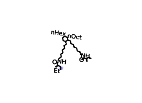 C=CC(=C)C(=O)NCCCCCCCCC1C(CCCCCCCCNC(=O)C(=C)/C=C\CC)CCC(CCCCCC)C1CCCCCCCC